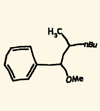 CCCCC(C)C(OC)c1ccccc1